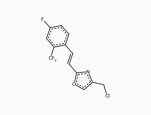 Fc1ccc(/C=C/c2nc(CCl)co2)c(C(F)(F)F)c1